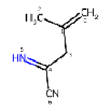 C=C(C)CC(=N)C#N